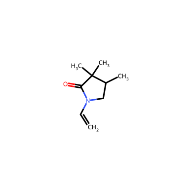 C=CN1CC(C)C(C)(C)C1=O